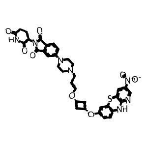 O=C1CCC(N2C(=O)c3ccc(N4CCN(CCCO[C@H]5C[C@H](Oc6ccc7c(c6)Sc6cc([N+](=O)[O-])cnc6N7)C5)CC4)cc3C2=O)C(=O)N1